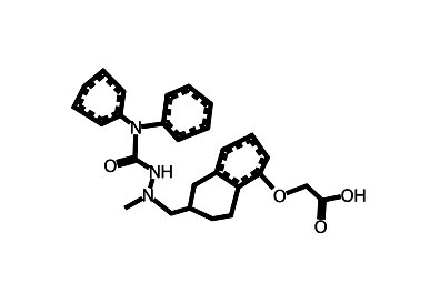 CN(CC1CCc2c(cccc2OCC(=O)O)C1)NC(=O)N(c1ccccc1)c1ccccc1